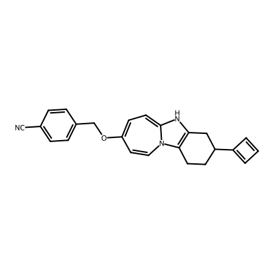 N#Cc1ccc(COC2=CC=C3NC4=C(CCC(C5=CC=C5)C4)N3C=C2)cc1